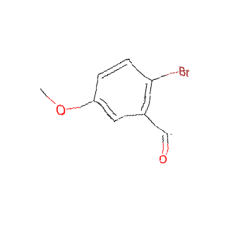 COc1ccc(Br)c([C]=O)c1